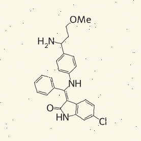 COCCC(N)c1ccc(NC(=C2C(=O)Nc3cc(Cl)ccc32)c2ccccc2)cc1